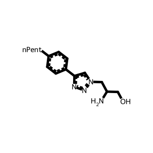 CCCCCc1ccc(-c2cn(CC(N)CO)nn2)cc1